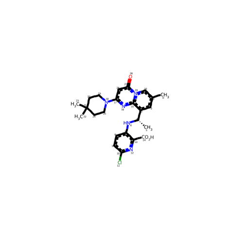 Cc1cc([C@H](C)Nc2ccc(Cl)nc2C(=O)O)c2nc(N3CCC(C)(C)CC3)cc(=O)n2c1